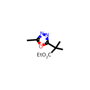 CCOC(=O)C(C)(C)c1nnc(C)o1